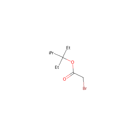 CCC(CC)(OC(=O)CBr)C(C)C